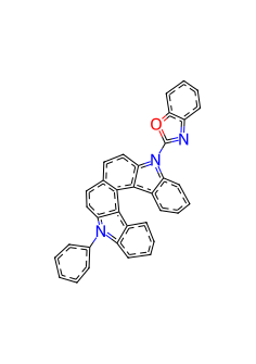 c1ccc(-n2c3ccccc3c3c4c(ccc32)ccc2c4c3ccccc3n2-c2nc3ccccc3o2)cc1